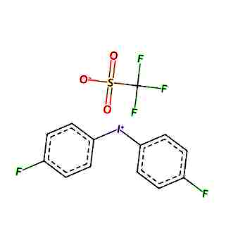 Fc1ccc([I+]c2ccc(F)cc2)cc1.O=S(=O)([O-])C(F)(F)F